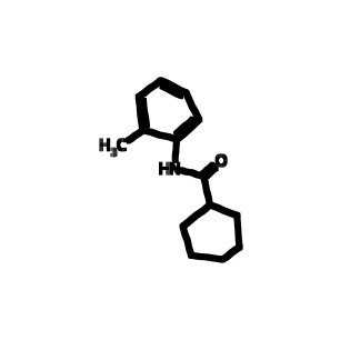 Cc1ccccc1NC(=O)C1CCCCC1